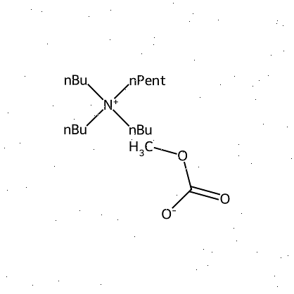 CCCCC[N+](CCCC)(CCCC)CCCC.COC(=O)[O-]